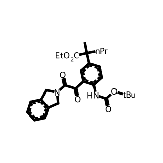 CCCC(C)(C(=O)OCC)c1ccc(NC(=O)OC(C)(C)C)c(C(=O)C(=O)N2Cc3ccccc3C2)c1